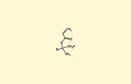 C=CC(=O)OC(C)(CC)S(=O)(=O)O